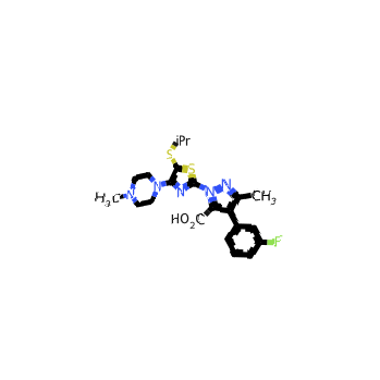 Cc1nn(-c2nc(N3CCN(C)CC3)c(SC(C)C)s2)c(C(=O)O)c1-c1cccc(F)c1